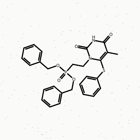 Cc1c(Sc2ccccc2)n(CCP(=O)(OCc2ccccc2)OCc2ccccc2)c(=O)[nH]c1=O